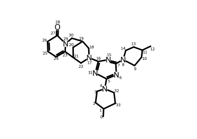 CC1CCN(c2nc(N3CCC(C)CC3)nc(N3CC4CC(C3)c3cccc(=O)n3C4)n2)CC1